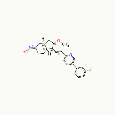 CO[C@H]1C[C@@H]2C/C(=N/O)CC[C@H]2[C@@H]1/C=C/c1ccc(-c2cccc(F)c2)cn1